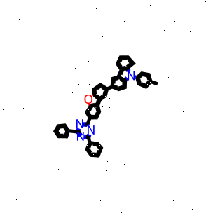 Cc1ccc(-n2c3ccccc3c3cc(-c4ccc5oc6cc(-c7nc(-c8ccccc8)nc(-c8ccccc8)n7)ccc6c5c4)ccc32)cc1